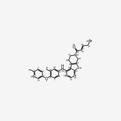 Cc1ccc(Oc2ccc(Nc3ncnc4sc5c(c34)CCN(C(=O)/C=C/CBr)C5)cc2C)cn1